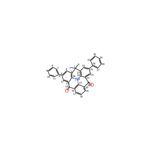 CC1(C)c2cc(-c3ccccc3)cc3c(=O)c4cccc5c(=O)c6cc(-c7ccccc7)cc1c6n(c23)c45